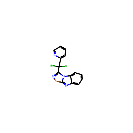 BrC(Br)(c1ccccn1)c1nsc2nc3ccccc3n12